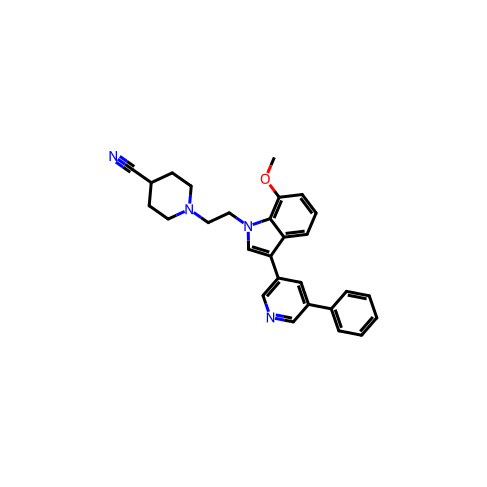 COc1cccc2c(-c3cncc(-c4ccccc4)c3)cn(CCN3CCC(C#N)CC3)c12